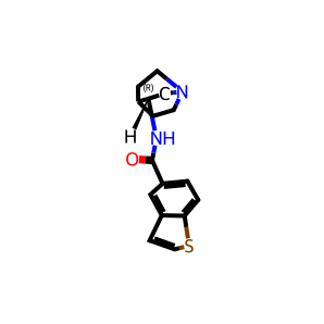 O=C(N[C@H]1CN2CCC1CC2)c1ccc2sccc2c1